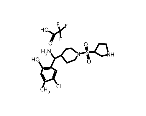 Cc1cc(O)c(C(N)C2CCN(S(=O)(=O)C3CCNC3)CC2)cc1Cl.O=C(O)C(F)(F)F